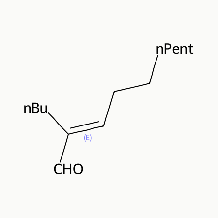 CCCCCCC/C=C(/C=O)CCCC